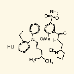 CCN1CCCC1CNC(=O)c1cc(S(N)(=O)=O)ccc1OC.CN(C)CCCN1c2ccccc2CCc2ccccc21.Cl